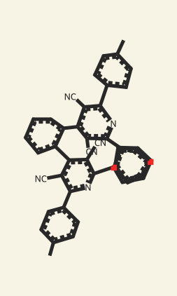 Cc1ccc(-c2nc(-c3ccccc3)c(C#N)c(-c3ccccc3-c3c(C#N)c(-c4ccccc4)nc(-c4ccc(C)cc4)c3C#N)c2C#N)cc1